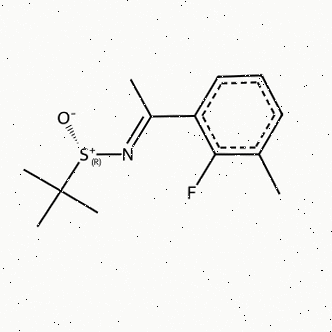 CC(=N[S@@+]([O-])C(C)(C)C)c1cccc(C)c1F